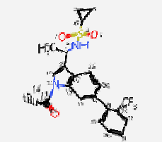 C[C@@H](NS(=O)(=O)C1CC1)c1cn(C(=O)C(C)(C)C)c2cc(-c3ccccc3C(F)(F)F)ccc12